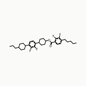 CCCCCc1ccc(C(=O)OC2CCC(c3ccc(C4CCC(CCC)CC4)c(F)c3F)CC2)c(F)c1F